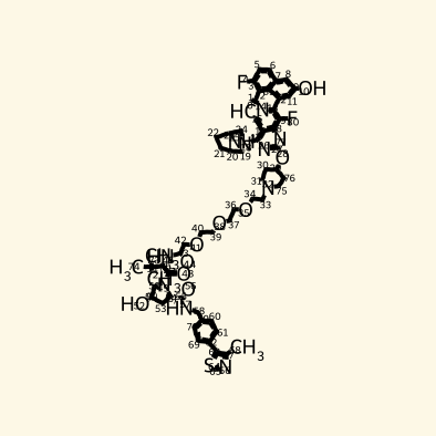 C#Cc1c(F)ccc2cc(O)cc(-c3ncc4c(N5CC6CCC(C5)N6)nc(OC5CCN(CCOCCOCCOCC(=O)N[C@H](C(=O)N6C[C@H](O)C[C@H]6C(=O)NCc6ccc(-c7scnc7C)cc6)C(C)(C)C)CC5)nc4c3F)c12